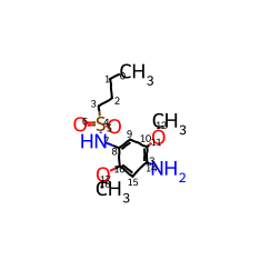 CCCCS(=O)(=O)Nc1cc(OC)c(N)cc1OC